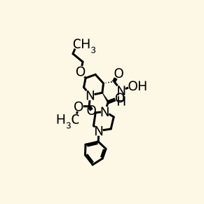 CCCO[C@H]1C[C@H](C(=O)NO)[C@@H](C(=O)N2CCN(c3ccccc3)CC2)N(C(=O)OC)C1